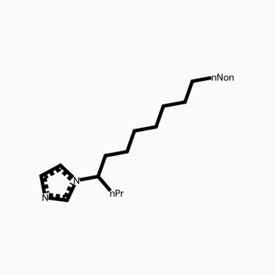 CCCCCCCCCCCCCCCCC(CCC)n1ccnc1